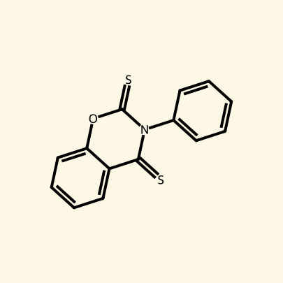 S=c1oc2ccccc2c(=S)n1-c1ccccc1